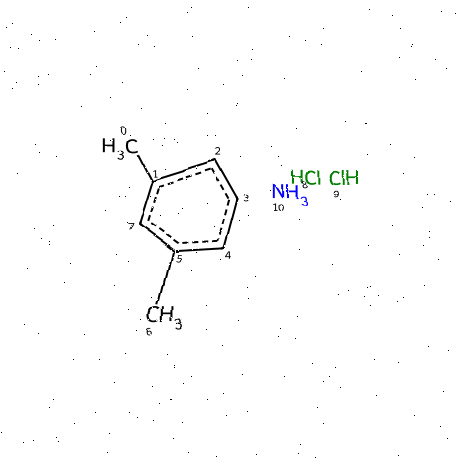 Cc1cccc(C)c1.Cl.Cl.N